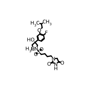 CC[C@@](O)(CNS(=O)(=O)CCCCN1CC(=O)NC1=O)c1ccc(F)c(OCC(C)C)c1